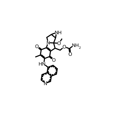 COC12C(COC(N)=O)C3=C(C(=O)C(C)=C(Nc4cccc5cnccc45)C3=O)N1CC1NC12